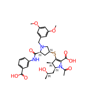 COc1cc(CN2C[C@@H](SC3=C(C(=O)O)N(C(C)=O)[C@@H](C[C@@H](C)O)[C@H]3C)C[C@H]2C(=O)Nc2cccc(C(=O)O)c2)cc(OC)c1